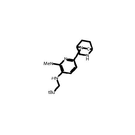 CNc1nc(N2CC3CCC2CN3)ccc1NCC(C)(C)C